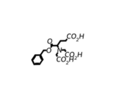 O=C(O)CCC(C(=O)OCc1ccccc1)N(CC(=O)O)CC(=O)O